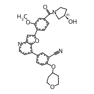 COc1cc(C(=O)N2CC[C@@H](O)C2)ccc1-c1cc2nccc(-c3ccc(OC4CCOCC4)c(C#N)c3)c2o1